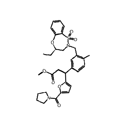 CC[C@@H]1CN(Cc2cc(C(CC(=O)OC)c3ccc(C(=O)N4CCCC4)o3)ccc2C)S(=O)(=O)c2ccccc2O1